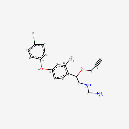 C#CCOC(CNCN)c1ccc(Oc2ccc(Cl)cc2)cc1C(F)(F)F